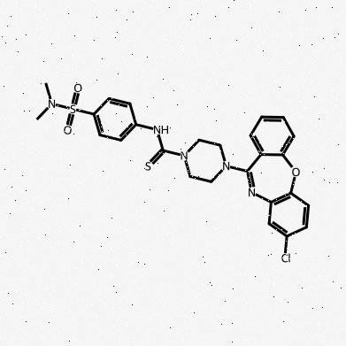 CN(C)S(=O)(=O)c1ccc(NC(=S)N2CCN(C3=Nc4cc(Cl)ccc4Oc4ccccc43)CC2)cc1